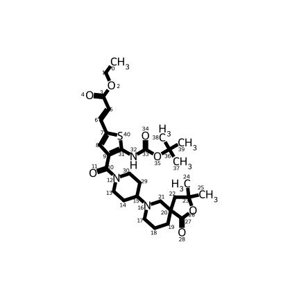 CCOC(=O)/C=C/c1cc(C(=O)N2CCC(N3CCCC4(C3)CC(C)(C)OC4=O)CC2)c(NC(=O)OC(C)(C)C)s1